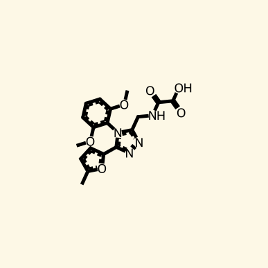 COc1cccc(OC)c1-n1c(CNC(=O)C(=O)O)nnc1-c1ccc(C)o1